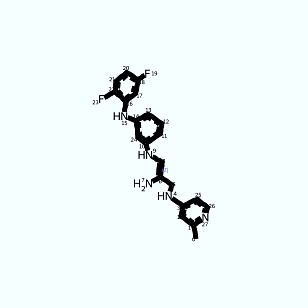 Cc1cc(NC/C(N)=C/Nc2cccc(Nc3cc(F)ccc3F)c2)ccn1